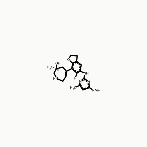 CNc1cc(C)nc(Nc2cc3c(c(C4=CCNC[C@@](C)(O)C4)c2F)OCC3)n1